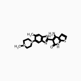 Cc1cc2[nH]c(-c3c(N)c4ccsc4[nH]c3=O)nc2cc1N1CCN(C)CC1